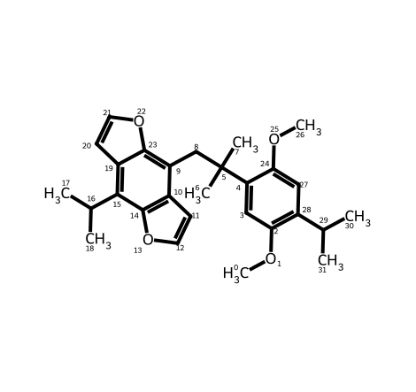 COc1cc(C(C)(C)Cc2c3ccoc3c(C(C)C)c3ccoc23)c(OC)cc1C(C)C